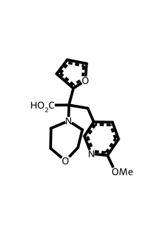 COc1ccc(CC(C(=O)O)(c2ccco2)N2CCOCC2)cn1